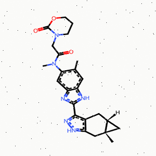 Cc1cc2[nH]c(-c3n[nH]c4c3C[C@@H]3C[C@]3(C)C4)nc2cc1N(C)C(=O)CN1CCCOC1=O